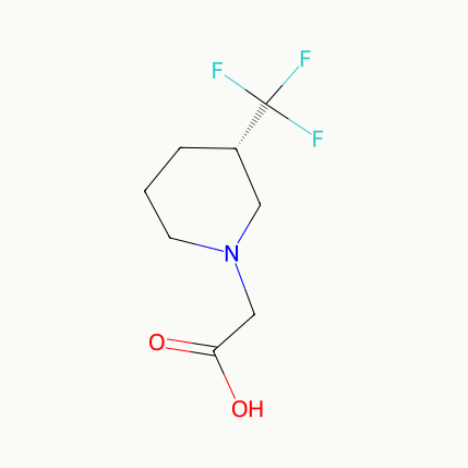 O=C(O)CN1CCC[C@H](C(F)(F)F)C1